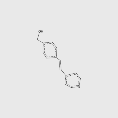 OCc1ccc(C=Cc2ccncc2)cc1